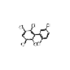 Clc1ccc(Cl)c(-c2c(Cl)c(Cl)cc(Cl)c2Cl)c1